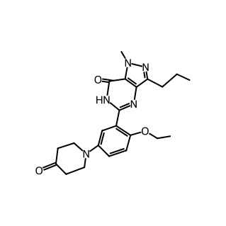 CCCc1nn(C)c2c(=O)[nH]c(-c3cc(N4CCC(=O)CC4)ccc3OCC)nc12